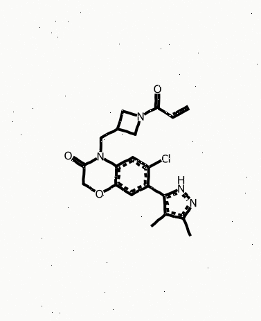 C=CC(=O)N1CC(CN2C(=O)COc3cc(-c4[nH]nc(C)c4C)c(Cl)cc32)C1